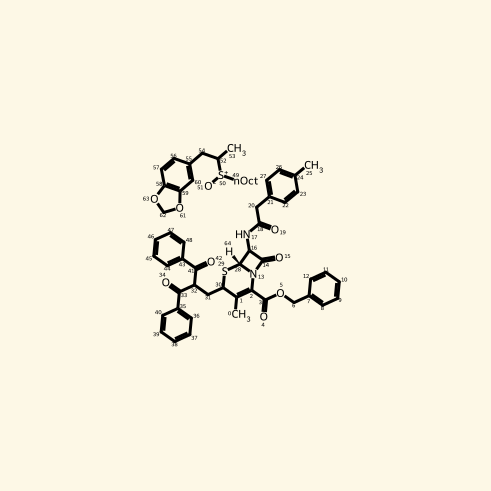 CC1=C(C(=O)OCc2ccccc2)N2C(=O)C(NC(=O)Cc3ccc(C)cc3)[C@H]2SC1CC(C(=O)c1ccccc1)C(=O)c1ccccc1.CCCCCCCC[S+]([O-])C(C)Cc1ccc2c(c1)OCO2